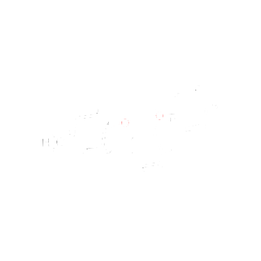 Cc1ccc(Oc2ccccc2Oc2ccccc2)cc1